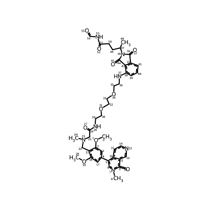 COc1cc(-c2cn(C)c(=O)c3cnccc23)cc(OC)c1CN(C)CC(=O)NCCOCCOCCNc1cccc2c1C(=O)N(C(C)CCC(=O)NC=O)C2=O